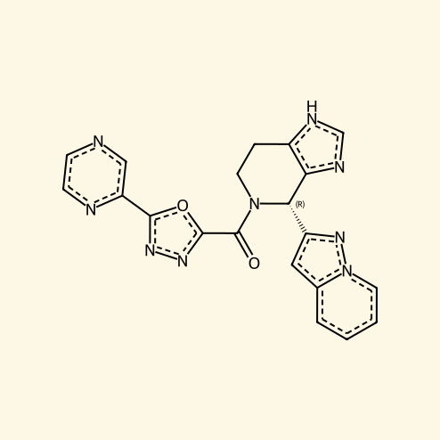 O=C(c1nnc(-c2cnccn2)o1)N1CCc2[nH]cnc2[C@@H]1c1cc2ccccn2n1